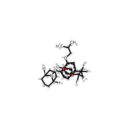 CC(C)COc1cc(C(F)(F)F)ccc1O[C@H]1C[C@H]2CCC[C@@H](C1)N2Oc1ccc(C(F)(F)F)cn1